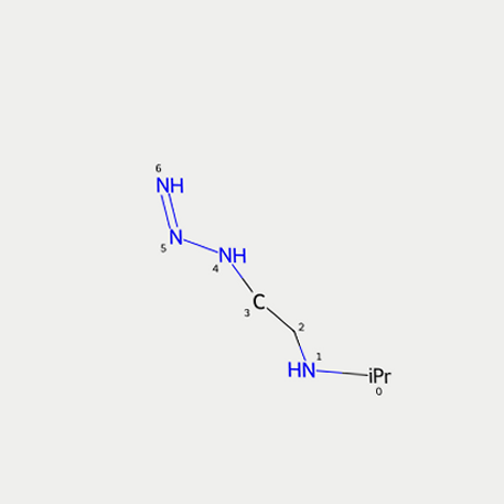 CC(C)NCCNN=N